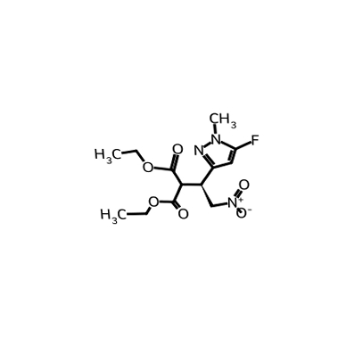 CCOC(=O)C(C(=O)OCC)[C@H](C[N+](=O)[O-])c1cc(F)n(C)n1